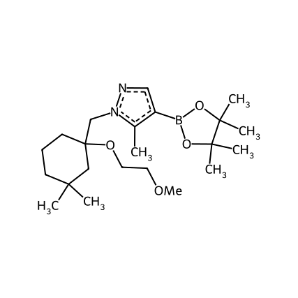 COCCOC1(Cn2ncc(B3OC(C)(C)C(C)(C)O3)c2C)CCCC(C)(C)C1